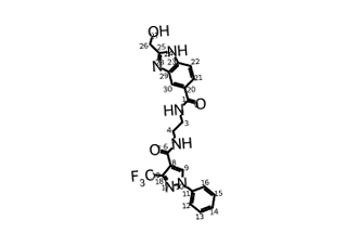 O=C(NCCNC(=O)c1cn(-c2ccccc2)nc1C(F)(F)F)c1ccc2[nH]c(CO)nc2c1